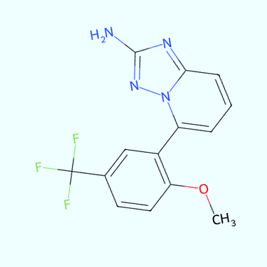 COc1ccc(C(F)(F)F)cc1-c1cccc2nc(N)nn12